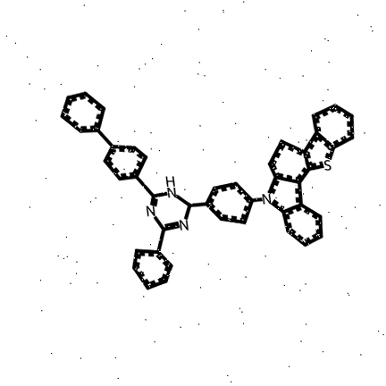 c1ccc(C2=NC(c3ccc(-n4c5ccccc5c5c6sc7ccccc7c6ccc54)cc3)NC(c3ccc(-c4ccccc4)cc3)=N2)cc1